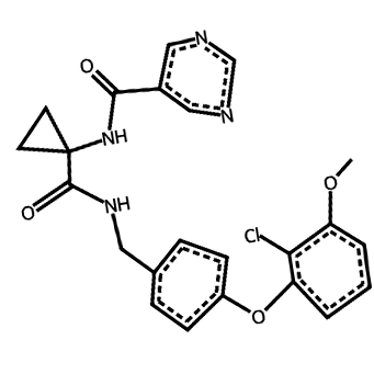 COc1cccc(Oc2ccc(CNC(=O)C3(NC(=O)c4cncnc4)CC3)cc2)c1Cl